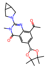 CC(=O)c1cc(B2OC(C)(C)C(C)(C)O2)cc2c(=O)n(C)c(N3CC4CC4C3)nc12